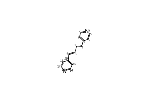 C(C=Cc1ccncc1)=Cc1ccncc1